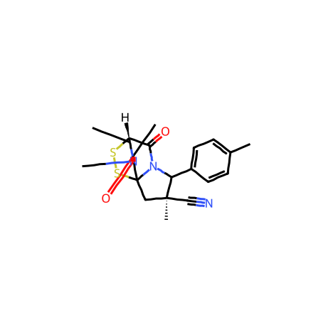 Cc1ccc(C2N3C(=O)[C@H]4SSC3(C[C@]2(C)C#N)C(=O)N(C)C4C)cc1